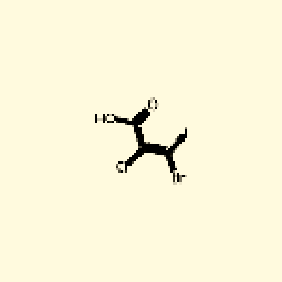 O=C(O)/C(Cl)=C(/Br)I